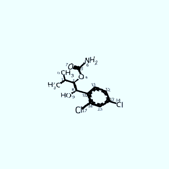 CC(C)[C@@H](OC(N)=O)[C@H](O)c1ccc(Cl)cc1Cl